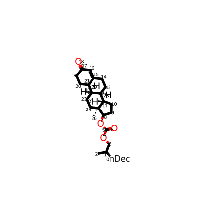 CCCCCCCCCCC(C)COC(=O)OC1CC[C@H]2[C@@H]3CCC4=CC(=O)CC[C@@H]4[C@H]3CC[C@]12C